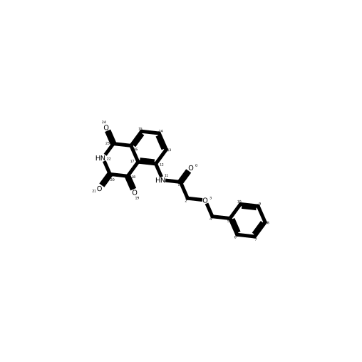 O=C(COCc1ccccc1)Nc1cccc2c1C(=O)C(=O)NC2=O